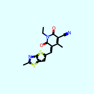 CCN1C(=O)C(C#N)=C(C)/C(=C/c2cc3sc(C)nc3s2)C1=O